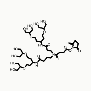 O=C(CCCN(CCC(=O)NC(CCOC(CO)CO)CCOC(CO)CO)C(=O)CCC(=O)ON1C(=O)CCC1=O)NC(CCOC(CO)CO)CCOC(CO)CO